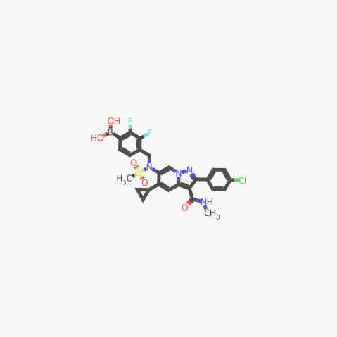 CNC(=O)c1c(-c2ccc(Cl)cc2)nn2cc(N(Cc3ccc(B(O)O)c(F)c3F)S(C)(=O)=O)c(C3CC3)cc12